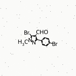 Cn1nc(-c2ccc(Br)cc2)c(C=O)c1Br